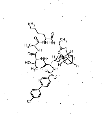 C[C@H](NC(=O)[C@H](CCCCN)NC(=O)[C@H](C)NC(=O)[C@@H](NC(=O)[C@H](CCN)NS(=O)(=O)c1ccc(-c2ccc(Cl)cc2)nc1)[C@@H](C)O)B1O[C@@H]2C[C@@H]3C[C@@H](C3(C)C)[C@]2(C)O1